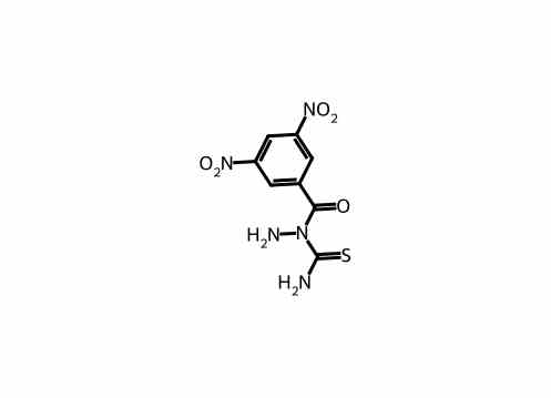 NC(=S)N(N)C(=O)c1cc([N+](=O)[O-])cc([N+](=O)[O-])c1